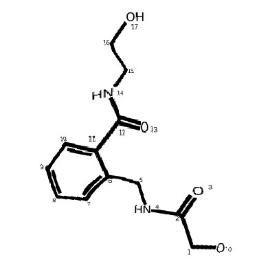 [O]CC(=O)NCc1ccccc1C(=O)NCCO